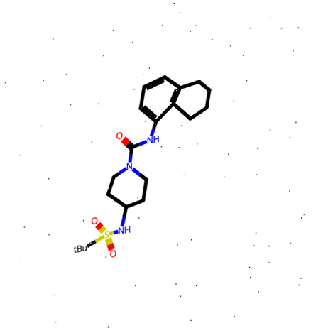 CC(C)(C)S(=O)(=O)NC1CCN(C(=O)Nc2cccc3c2CCCC3)CC1